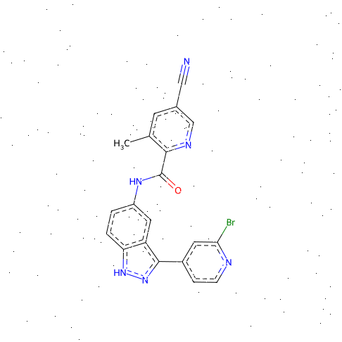 Cc1cc(C#N)cnc1C(=O)Nc1ccc2[nH]nc(-c3ccnc(Br)c3)c2c1